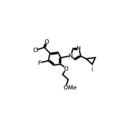 COCCOc1cc(F)c(C(=O)Cl)cc1-n1cnc(C2C[C@@H]2C)c1